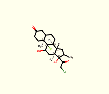 CC1C[C@H]2[C@@H]3CCC4CC(=O)CC[C@]4(C)[C@@]3(F)C(O)C[C@]2(C)[C@@]1(O)C(=O)CCl